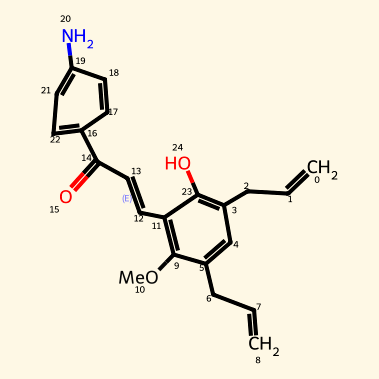 C=CCc1cc(CC=C)c(OC)c(/C=C/C(=O)c2ccc(N)cc2)c1O